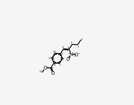 CCCC(=Cc1ccc(C(=O)OC)cc1)[N+](=O)[O-]